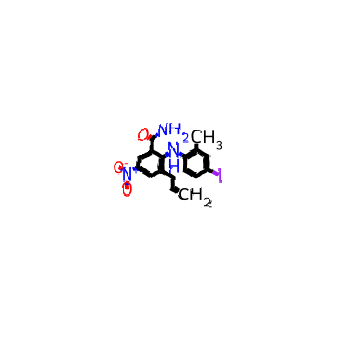 C=CCc1cc([N+](=O)[O-])cc(C(N)=O)c1Nc1ccc(I)cc1C